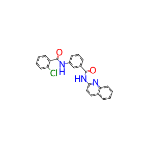 O=C(Nc1ccc2ccccc2n1)c1cccc(NC(=O)c2ccccc2Cl)c1